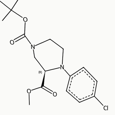 COC(=O)[C@H]1CN(C(=O)OC(C)(C)C)CCN1c1ccc(Cl)cc1